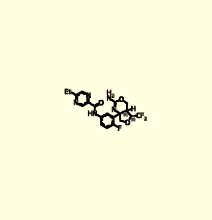 CCc1cnc(C(=O)Nc2ccc(F)c(C34CO[C@H](C(F)(F)F)[C@H]3COC(N)=N4)c2)cn1